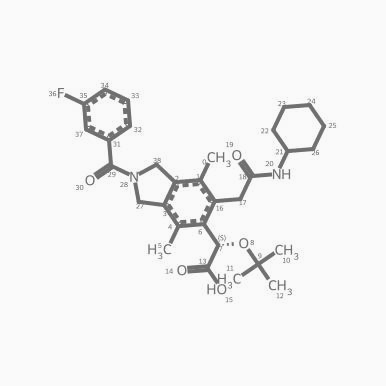 Cc1c2c(c(C)c([C@H](OC(C)(C)C)C(=O)O)c1CC(=O)NC1CCCCC1)CN(C(=O)c1cccc(F)c1)C2